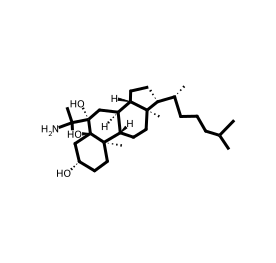 CC(C)CCC[C@@H](C)[C@H]1CC[C@H]2[C@@H]3C[C@](O)(C(C)(C)N)[C@@]4(O)C[C@@H](O)CC[C@]4(C)[C@H]3CC[C@]12C